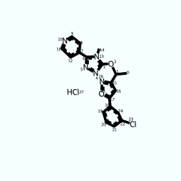 CC(Oc1nnc(-c2ccncc2)n1C)c1cc(-c2cccc(Cl)c2)on1.Cl